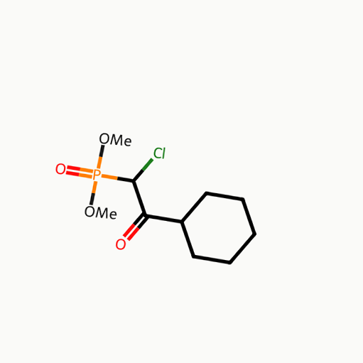 COP(=O)(OC)C(Cl)C(=O)C1CCCCC1